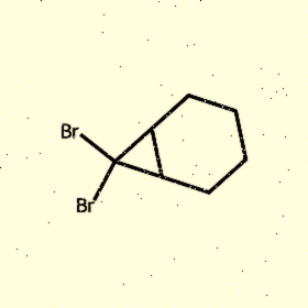 BrC1(Br)C2CCCCC21